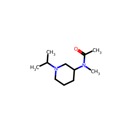 CC(=O)N(C)C1CCCN(C(C)C)C1